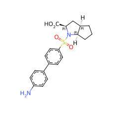 Nc1ccc(-c2ccc(S(=O)(=O)N3[C@@H](C(=O)O)C[C@H]4CCC[C@H]43)cc2)cc1